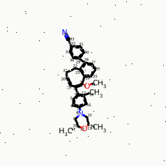 CO/C1=C(c2ccc(N3C[C@@H](C)O[C@@H](C)C3)cc2C)/C=C\CCc2c1cccc2-c1ccc(C#N)cc1